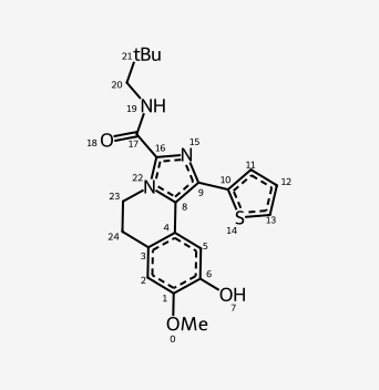 COc1cc2c(cc1O)-c1c(-c3cccs3)nc(C(=O)NCC(C)(C)C)n1CC2